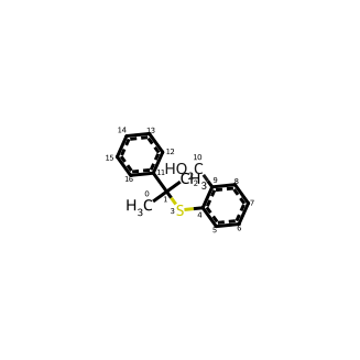 CC(C)(Sc1ccccc1C(=O)O)c1ccccc1